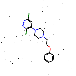 Clc1cc(N2CCN(CCOc3ccccc3)CC2)c(Cl)nn1